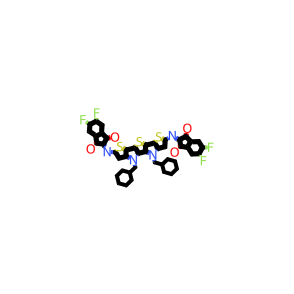 O=c1c(=Nc2cc3c(s2)c2sc4c5sc(N=c6c(=O)c7cc(F)c(F)cc7c6=O)cc5n(CC5CCCCC5)c4c2n3CC2CCCCC2)c(=O)c2cc(F)c(F)cc12